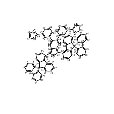 c1ccc(C2(c3ccccc3)c3ccccc3-c3c(-c4sc(-c5cccc6c5-c5ccccc5C6(c5ccccc5)c5ccccc5)c5nc6c7cc(-c8nccs8)ccc7c7ccc(-c8nccs8)cc7c6nc45)cccc32)cc1